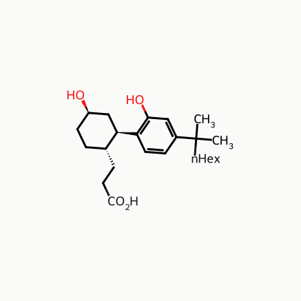 CCCCCCC(C)(C)c1ccc([C@@H]2C[C@H](O)CC[C@H]2CCC(=O)O)c(O)c1